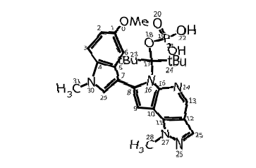 COc1ccc2c(c1)c(-c1cc3c4c(cnc3n1C(OP(=O)(O)O)(C(C)(C)C)C(C)(C)C)cnn4C)cn2C